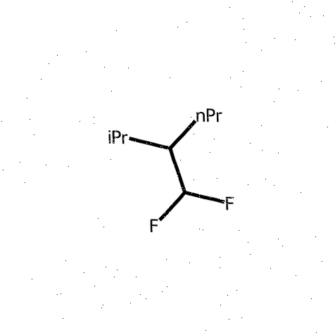 CCCC(C(C)C)C(F)F